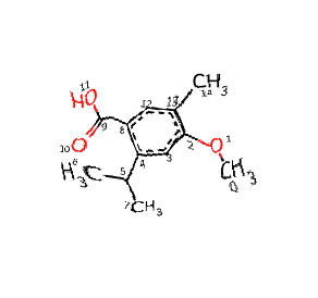 COc1cc(C(C)C)c(C(=O)O)cc1C